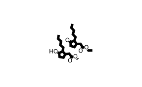 CCCCCC1C(=O)CCC1CC(=O)OCC.CCCCCC1C(O)CCC1CC(=O)OC